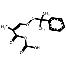 CC(=COOC(C)(C)c1ccccc1)C(=O)OC(=O)O